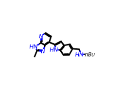 CCCCNCc1ccc2[nH]c(-c3ccnc4[nH]c(C)nc34)cc2c1